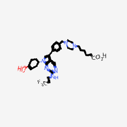 O=C(O)CCCCCN1CCN(Cc2ccc(-c3cn([C@H]4CC[C@H](O)CC4)c4nc(NCCC(F)(F)F)ncc34)cc2)CC1